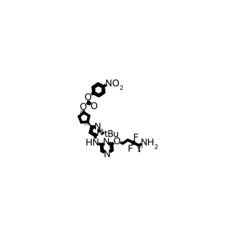 C[C@H](N)C(F)(F)CCOc1cncc(Nc2cc([C@H]3CC[C@@H](OC(=O)Oc4ccc([N+](=O)[O-])cc4)C3)nn2C(C)(C)C)n1